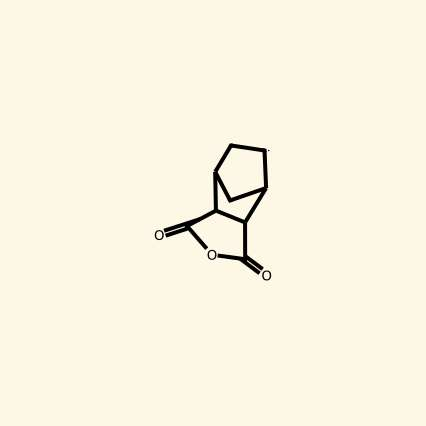 O=C1OC(=O)C2C3C[CH]C(C3)C12